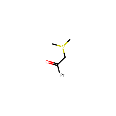 CC(C)C(=O)C[S+](C)C